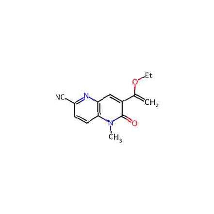 C=C(OCC)c1cc2nc(C#N)ccc2n(C)c1=O